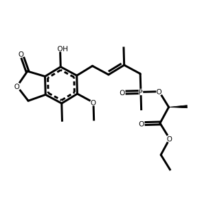 CCOC(=O)[C@H](C)OP(C)(=O)C/C(C)=C/Cc1c(O)c2c(c(C)c1OC)COC2=O